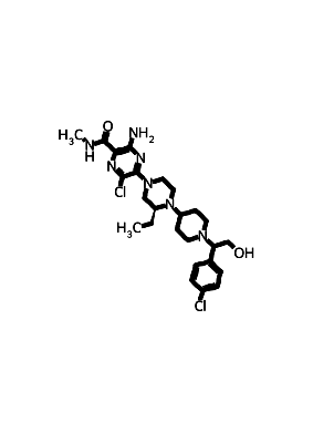 CC[C@H]1CN(c2nc(N)c(C(=O)NC)nc2Cl)CCN1C1CCN(C(CO)c2ccc(Cl)cc2)CC1